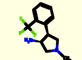 CN1C[C@H](c2ccccc2C(F)(F)F)[C@@H](N)C1